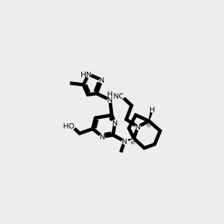 Cc1cc(Nc2cc(CO)nc(N(C)[C@]34CCC[C@@H](CC3)N4CCC#N)n2)n[nH]1